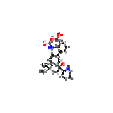 CC1(C)CCC(O)(c2ccccn2)c2cc(-c3cccc(C(=O)O)c3NC=O)ccc21